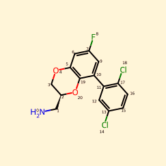 NC[C@H]1COc2cc(F)cc(-c3cc(Cl)ccc3Cl)c2O1